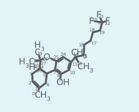 CC1=CC[C@@H]2C(C1)c1c(O)cc(C(C)(C)CCCCCC(F)(F)F)cc1OC2(C)C